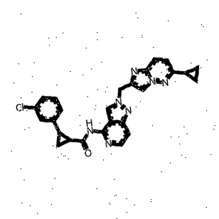 O=C(Nc1nccc2nn(Cc3cn4nc(C5CC5)ccc4n3)cc12)C1CC1c1cccc(Cl)c1